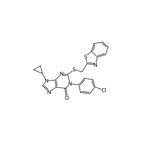 O=c1c2ncn(C3CC3)c2nc(SCc2nc3ccccc3s2)n1-c1ccc(Cl)cc1